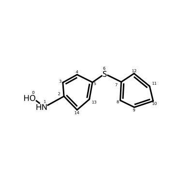 ONc1ccc(Sc2ccccc2)cc1